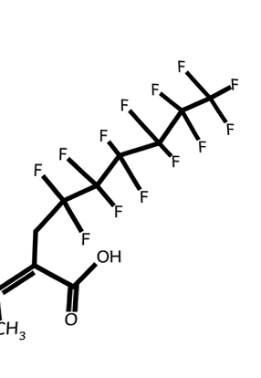 CC=C(CC(F)(F)C(F)(F)C(F)(F)C(F)(F)C(F)(F)C(F)(F)F)C(=O)O